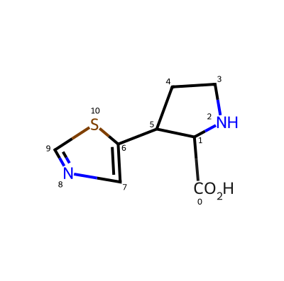 O=C(O)C1NCCC1c1cncs1